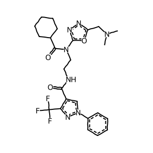 CN(C)Cc1nnc(N(CCNC(=O)c2cn(-c3ccccc3)nc2C(F)(F)F)C(=O)C2CCCCC2)o1